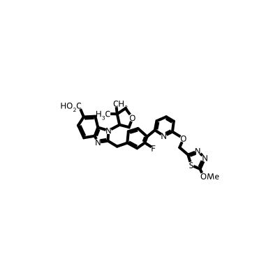 COc1nnc(COc2cccc(-c3ccc(Cc4nc5ccc(C(=O)O)cc5n4C4COCC4(C)C)cc3F)n2)s1